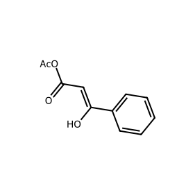 CC(=O)OC(=O)/C=C(\O)c1ccccc1